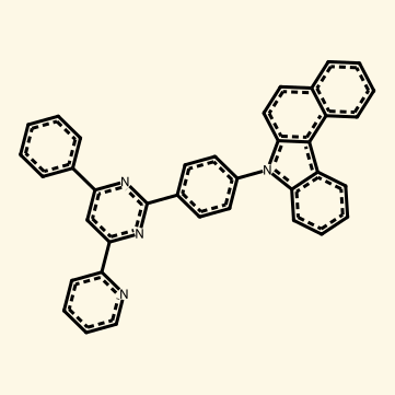 c1ccc(-c2cc(-c3ccccn3)nc(-c3ccc(-n4c5ccccc5c5c6ccccc6ccc54)cc3)n2)cc1